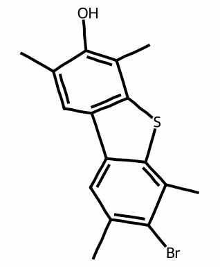 Cc1cc2c(sc3c(C)c(Br)c(C)cc32)c(C)c1O